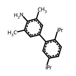 Cc1cc(-c2cc(C(C)C)ccc2C(C)C)cc(C)c1N